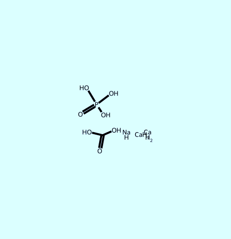 O=C(O)O.O=P(O)(O)O.[CaH2].[CaH2].[NaH]